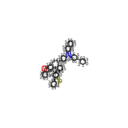 c1ccc(-c2ccc(N(c3ccc(C4CCc5cc6oc7ccccc7c6c(-c6ccc7sc8ccccc8c7c6)c5-c5ccccc54)cc3)c3ccc4ccccc4c3)cc2)cc1